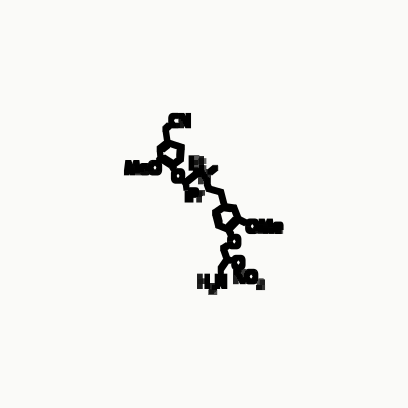 CCC(C(Oc1ccc(CC#N)cc1OC)C(C)C)N(C)CCc1ccc(OCC(CN)O[N+](=O)[O-])c(OC)c1